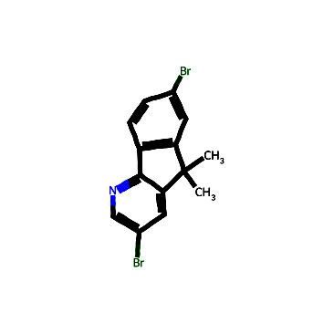 CC1(C)c2cc(Br)ccc2-c2ncc(Br)cc21